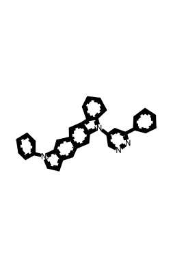 c1ccc(-c2cc(-n3c4ccccc4c4cc5cc6c(ccn6-c6ccccc6)cc5cc43)cnn2)cc1